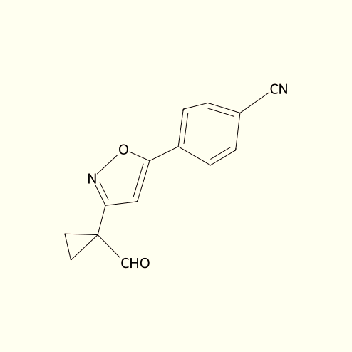 N#Cc1ccc(-c2cc(C3(C=O)CC3)no2)cc1